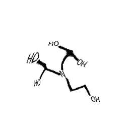 OCCN(C(O)O)C(O)O